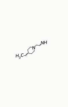 CC=C1CCN(CC=N)CC1